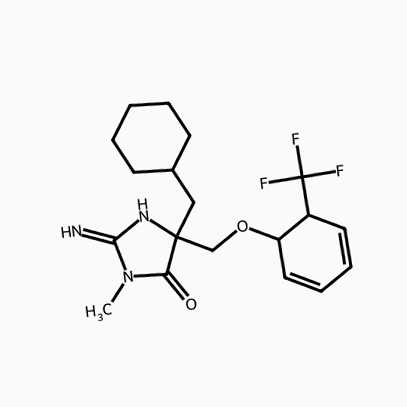 CN1C(=N)NC(COC2C=CC=CC2C(F)(F)F)(CC2CCCCC2)C1=O